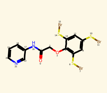 O=C(COc1c(SBr)cc(SBr)cc1SBr)Nc1cccnc1